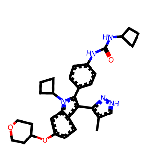 Cc1c[nH]nc1-c1c(-c2ccc(NC(=O)NC3CCC3)cc2)n(C2CCC2)c2cc(OC3CCOCC3)ccc12